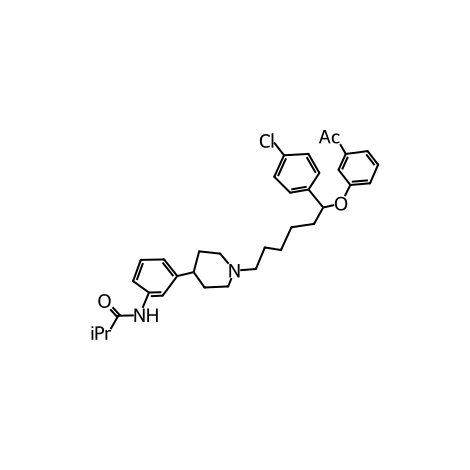 CC(=O)c1cccc(OC(CCCCCN2CCC(c3cccc(NC(=O)C(C)C)c3)CC2)c2ccc(Cl)cc2)c1